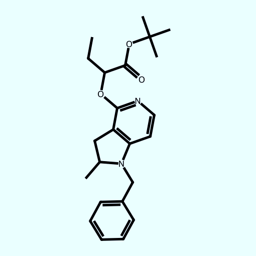 CCC(Oc1nccc2c1CC(C)N2Cc1ccccc1)C(=O)OC(C)(C)C